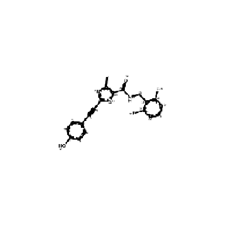 Cc1nc(C#Cc2ccc(O)cc2)sc1C(=O)NCc1c(F)cccc1F